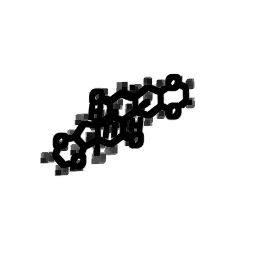 C[C@]12CC3OCCOC3CC1=CC(=O)[C@@H]1[C@@H]2C(=O)C[C@]2(C)C3OCCOC3C[C@@H]12